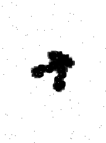 c1ccc2c(c1)nnn2C(C(N1CCC(OCCOC2CCCCO2)CC1)n1nnc2ccccc21)N1CCC(OCCOC2CCCCO2)CC1